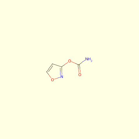 NC(=O)Oc1ccon1